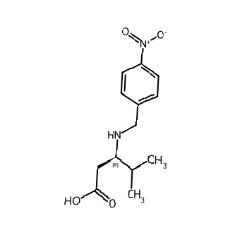 CC(C)[C@@H](CC(=O)O)NCc1ccc([N+](=O)[O-])cc1